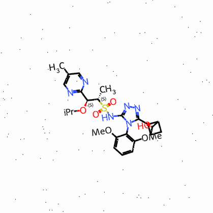 COc1cccc(OC)c1-n1c(NS(=O)(=O)[C@@H](C)[C@@H](OC(C)C)c2ncc(C)cn2)nnc1C1C2CC1C2O